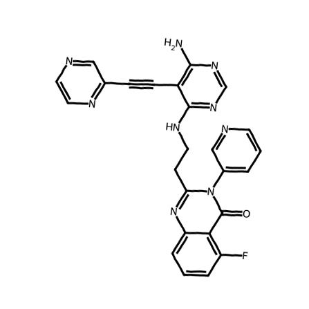 Nc1ncnc(NCCc2nc3cccc(F)c3c(=O)n2-c2cccnc2)c1C#Cc1cnccn1